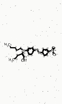 CCCCCN(c1ccc(/N=N/c2ccc([N+](=O)[O-])cc2)cc1)C(CO)CCC